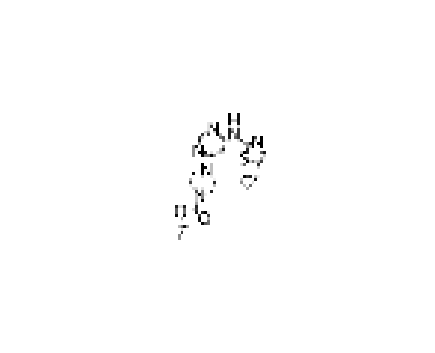 CC(C)(C)OC(=O)N1CCN(c2cc(Nc3ncc(C=O)s3)ncn2)CC1